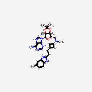 CN(C[C@H]1O[C@@H](n2cnc3c(N)ncnc32)[C@@H]2OC(C)(C)O[C@@H]21)[C@H]1C[C@H](CCc2nc3cc(C(C)(C)C)ccc3[nH]2)C1